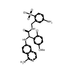 CCS(=O)(=O)c1ccc(N)cc1CNC(=O)C(Nc1ccc2c(N)nccc2c1)c1cc(OC)ccc1Cl